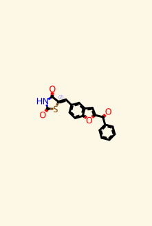 O=C1NC(=O)/C(=C/c2ccc3oc(C(=O)c4ccccc4)cc3c2)S1